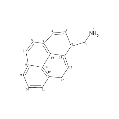 NCC1C=Cc2ccc3cccc4c3c2C1=CC4